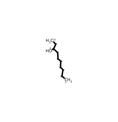 CCCCCCC[C](O)CC